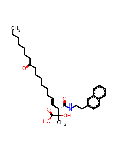 CCCCCCCC(=O)CCCCCC/C=C/[C@H](C(=O)NCCc1ccc2ccccc2c1)[C@](C)(O)C(=O)O